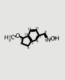 COC1CCc2cc(C=NO)ccc21